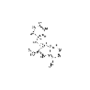 COc1nc2c(F)cccc2cc1CC1=CC=CCC1